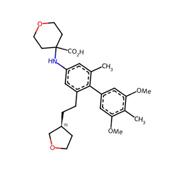 COc1cc(-c2c(C)cc(NC3(C(=O)O)CCOCC3)cc2CC[C@H]2CCOC2)cc(OC)c1C